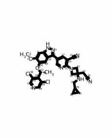 COc1cc2[nH]nc(-c3cnc(N4CC(CC#N)(NCC5CC5)C4)c(C#N)c3)c2cc1O[C@H](C)c1c(Cl)cncc1Cl